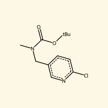 CN(Cc1ccc(Cl)nc1)C(=O)OC(C)(C)C